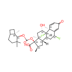 C[C@@H]1C[C@H]2[C@@H]3C[C@H](F)C4=CC(=O)C=C[C@]4(C)[C@@]3(F)[C@@H](O)C[C@]2(C)[C@@]1(OC(=O)O[C@H]1C(C)(C)CCC2CC[C@]21C)C(=O)O